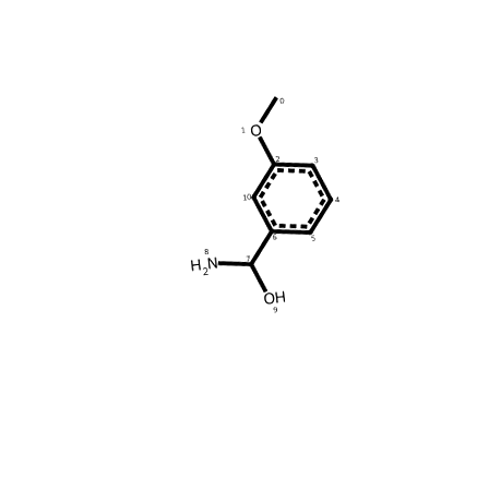 COc1cccc(C(N)O)c1